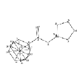 C=C(CN1CCCC1)[C]12[CH]3[CH]4[CH]5[CH]1[Fe]45321678[CH]2[CH]1[CH]6[CH]7[CH]28